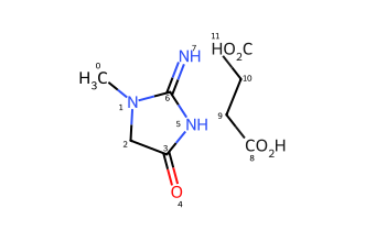 CN1CC(=O)NC1=N.O=C(O)CCC(=O)O